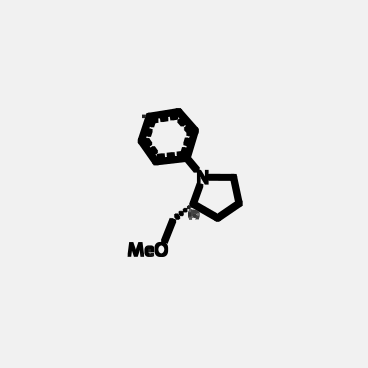 COC[C@H]1CCCN1c1cc[c]cc1